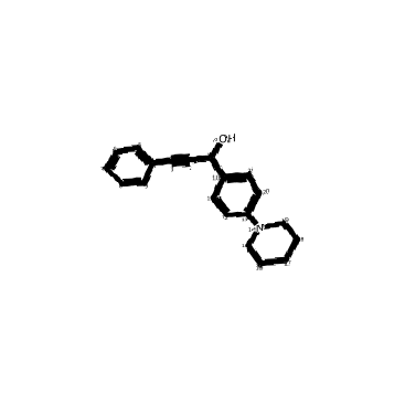 OC(C#Cc1ccccc1)c1ccc(N2CCCCC2)cc1